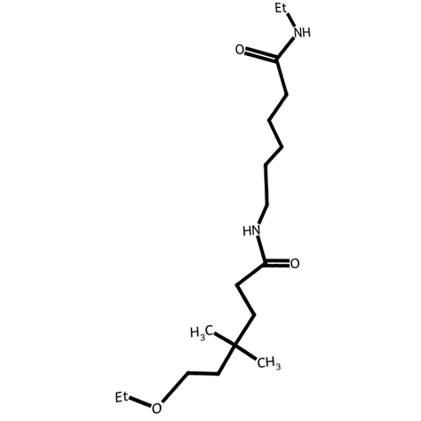 CCNC(=O)CCCCCNC(=O)CCC(C)(C)CCOCC